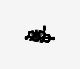 C=C[C@H]1C[C@@H]2[C@H](CC[C@]3(C)C(=O)CC[C@@H]23)[C@@]2(C)CCC(=O)CC12